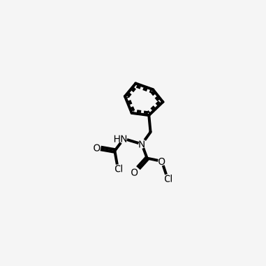 O=C(Cl)NN(Cc1ccccc1)C(=O)OCl